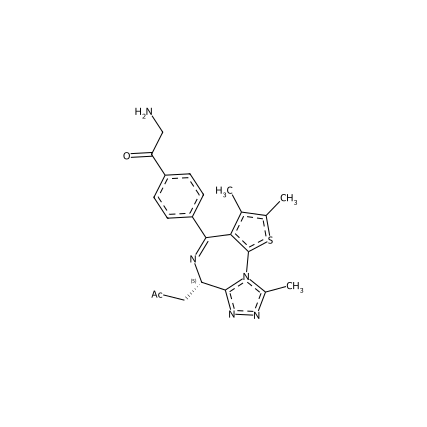 CC(=O)C[C@@H]1N=C(c2ccc(C(=O)CN)cc2)c2c(sc(C)c2C)-n2c(C)nnc21